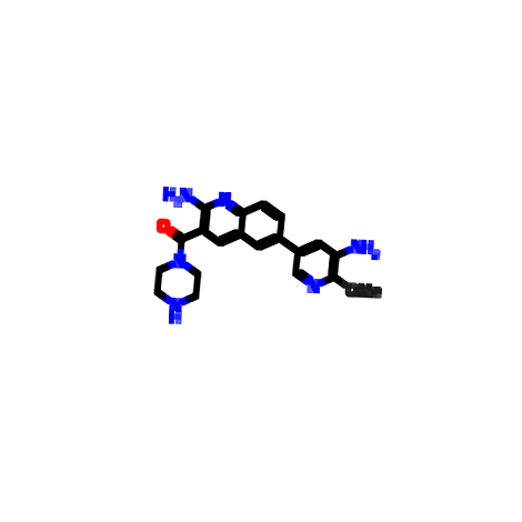 COc1ncc(-c2ccc3nc(N)c(C(=O)N4CCNCC4)cc3c2)cc1N